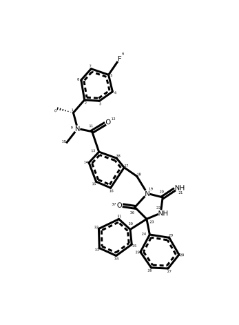 C[C@H](c1ccc(F)cc1)N(C)C(=O)c1cccc(CN2C(=N)NC(c3ccccc3)(c3ccccc3)C2=O)c1